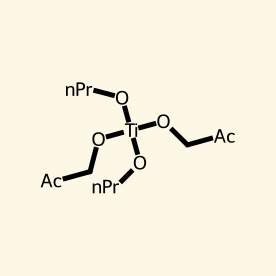 CCC[O][Ti]([O]CCC)([O]CC(C)=O)[O]CC(C)=O